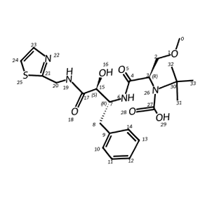 COC[C@H](C(=O)N[C@H](Cc1ccccc1)[C@H](O)C(=O)NCc1nccs1)N(C(=O)O)C(C)(C)C